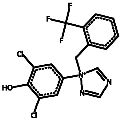 Oc1c(Cl)cc([N+]2(Cc3ccccc3C(F)(F)F)C=NC=N2)cc1Cl